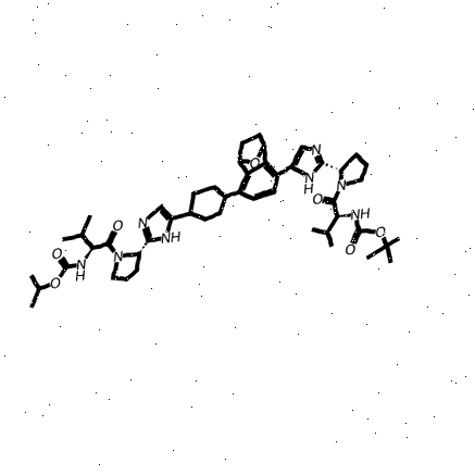 CC(C)OC(=O)N[C@H](C(=O)N1CCC[C@H]1c1ncc(C2CCC(c3ccc(-c4cnc([C@@H]5CCCN5C(=O)[C@@H](NC(=O)OC(C)(C)C)C(C)C)[nH]4)c4c3C3CCC4O3)CC2)[nH]1)C(C)C